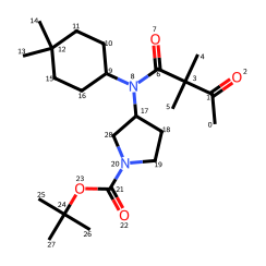 CC(=O)C(C)(C)C(=O)N(C1CCC(C)(C)CC1)C1CCN(C(=O)OC(C)(C)C)C1